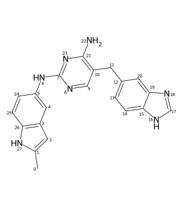 Cc1cc2cc(Nc3ncc(Cc4ccc5[nH]cnc5c4)c(N)n3)ccc2[nH]1